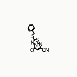 N#Cc1cc(=O)n2nc(SCc3ccccc3)sc2n1